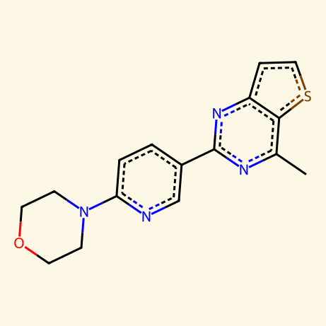 Cc1nc(-c2ccc(N3CCOCC3)nc2)nc2ccsc12